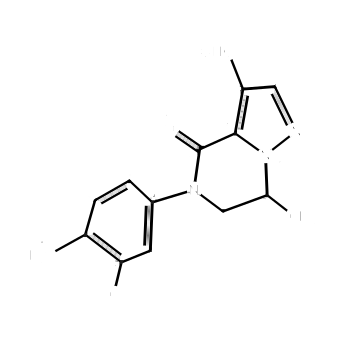 CC1CN(c2ccc(C(F)(F)F)c(Cl)c2)C(=O)c2c(C=O)cnn21